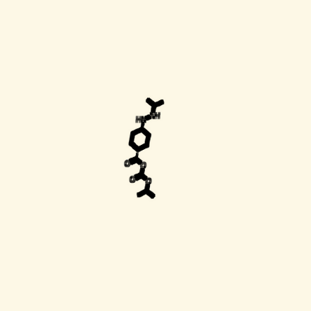 CC(C)NN[C@H]1CC[C@H](C(=O)OC(=O)OC(C)C)CC1